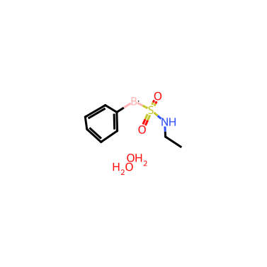 CCNS(=O)(=O)[B]c1ccccc1.O.O